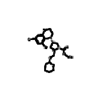 CC(C)(C)OC(=O)N1C[C@@H](N2CCOc3cc(Cl)cc(Br)c32)C[C@@H]1COC1CCCCO1